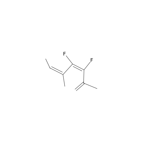 C=C(C)/C(F)=C(F)\C(C)=C/C